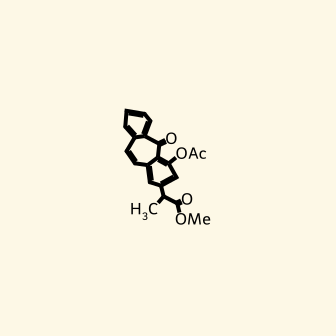 COC(=O)C(C)c1cc(OC(C)=O)c2c(=O)c3ccccc3ccc2c1